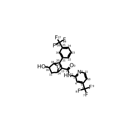 O=C(Nc1cc(C(F)(F)F)ccn1)C1C2CC(O)C(O2)C1c1cccc(C(F)(F)F)c1